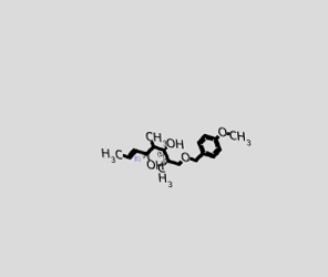 C/C=C/[C@@H](O)C(C)[C@@H](O)[C@@H](C)COCc1ccc(OC)cc1